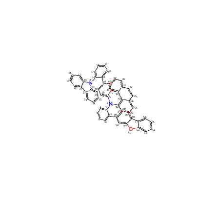 c1ccc(N(c2ccc(-c3ccccc3-n3c4ccccc4c4ccccc43)cc2)c2cccc3ccc4ccccc4c23)c(-c2ccc3c(c2)oc2ccccc23)c1